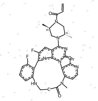 C=CC(=O)N1C[C@H](C)N(c2nc(=O)n3c4nc(c(F)cc24)-c2c(F)cccc2NCCC(=O)N(C)c2ccnc(C(C)C)c2-3)C[C@H]1C